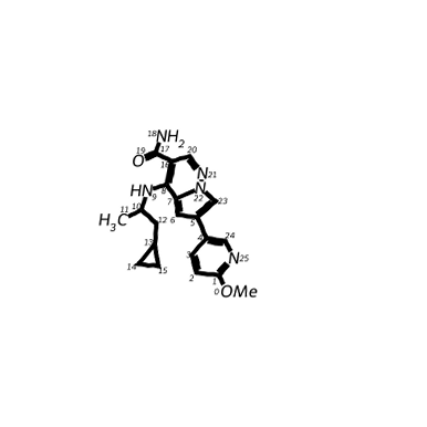 COc1ccc(-c2cc3c(NC(C)CC4CC4)c(C(N)=O)cnn3c2)cn1